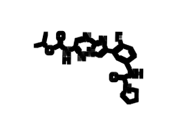 CC(C)OC(=O)Nc1cnc2nc(-c3cc(NC(=O)N4CCCC4)ccc3F)cn2n1